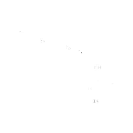 CN1C(=O)CCC1c1ccc(NC(=O)OC(C)(C)C)nn1